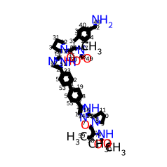 COC(=O)N[C@H](C(=O)N1CCC[C@H]1c1ncc(-c2ccc(-c3ccc(-c4cnc([C@@H]5CCCN5C(=O)[C@H](Cc5ccc(CN)cc5)N(C)C(=O)O)[nH]4)cc3)cc2)[nH]1)C(C)C